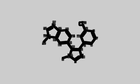 Cn1cnc(-c2cccc(Cl)c2)c1-c1ccc2ncn(C)c2c1